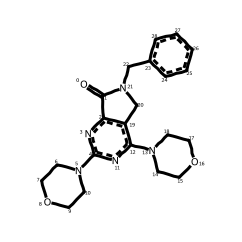 O=C1c2nc(N3CCOCC3)nc(N3CCOCC3)c2CN1Cc1ccccc1